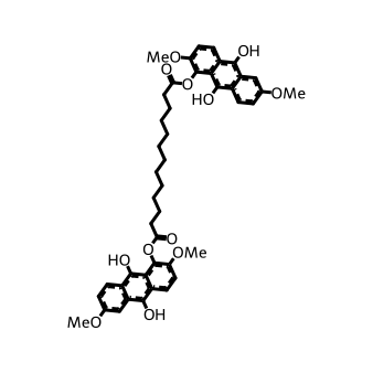 COc1ccc2c(O)c3c(OC(=O)CCCCCCCCCCCC(=O)Oc4c(OC)ccc5c(O)c6cc(OC)ccc6c(O)c45)c(OC)ccc3c(O)c2c1